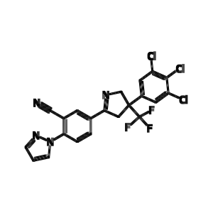 N#Cc1cc(C2=NCC(c3cc(Cl)c(Cl)c(Cl)c3)(C(F)(F)F)C2)ccc1-n1cccn1